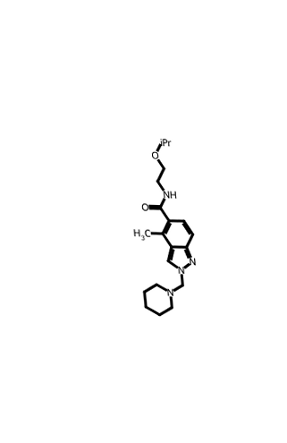 Cc1c(C(=O)NCCOC(C)C)ccc2nn(CN3CCCCC3)cc12